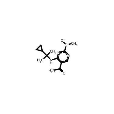 C[S+]([O-])c1ncc(C(N)=O)c(NC(C)(C)C2CC2)n1